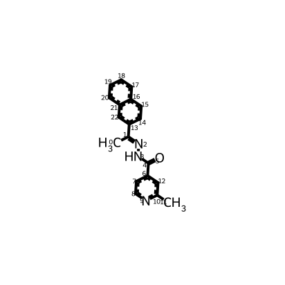 CC(=NNC(=O)c1ccnc(C)c1)c1ccc2ccccc2c1